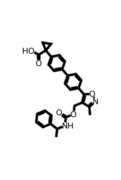 Cc1noc(-c2ccc(-c3ccc(C4(C(=O)O)CC4)cc3)cc2)c1COC(=O)NC(C)c1ccccc1